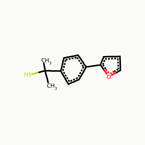 CC(C)(S)c1ccc(-c2ccco2)cc1